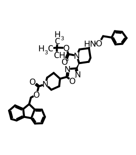 CC(C)(C)OC(=O)N1C[C@H](NOCc2ccccc2)CC[C@H]1c1noc(C2CCN(C(=O)OCC3c4ccccc4-c4ccccc43)CC2)n1